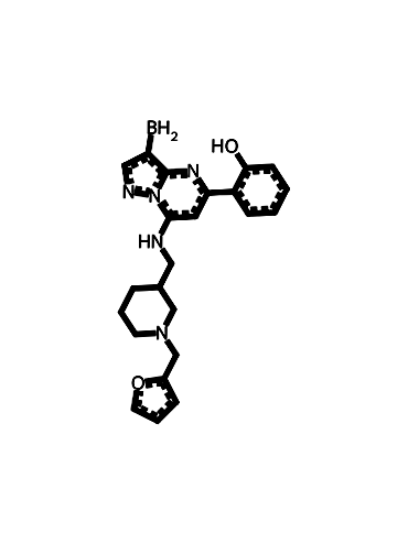 Bc1cnn2c(NCC3CCCN(Cc4ccco4)C3)cc(-c3ccccc3O)nc12